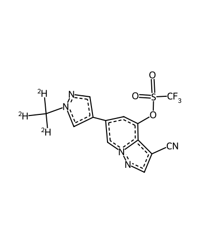 [2H]C([2H])([2H])n1cc(-c2cc(OS(=O)(=O)C(F)(F)F)c3c(C#N)cnn3c2)cn1